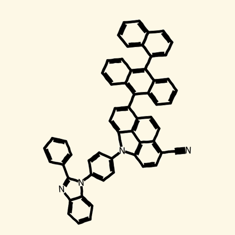 N#Cc1ccc2c3c1ccc1c(-c4c5ccccc5c(-c5cccc6ccccc56)c5ccccc45)ccc(c13)n2-c1ccc(-n2c(-c3ccccc3)nc3ccccc32)cc1